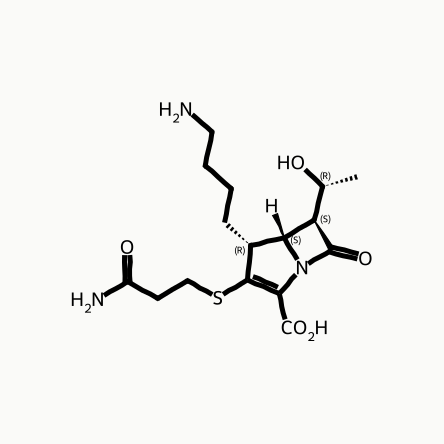 C[C@@H](O)[C@H]1C(=O)N2C(C(=O)O)=C(SCCC(N)=O)[C@H](CCCCN)[C@H]12